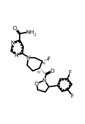 NC(=O)c1cc(N2CC[C@@H](C(=O)N3OCCC3c3cc(F)cc(F)c3)[C@@H](F)C2)ncn1